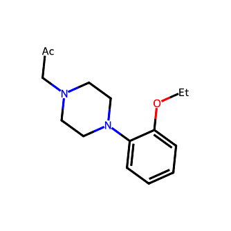 [CH2]C(=O)CN1CCN(c2ccccc2OCC)CC1